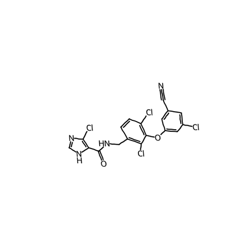 N#Cc1cc(Cl)cc(Oc2c(Cl)ccc(CNC(=O)c3[nH]cnc3Cl)c2Cl)c1